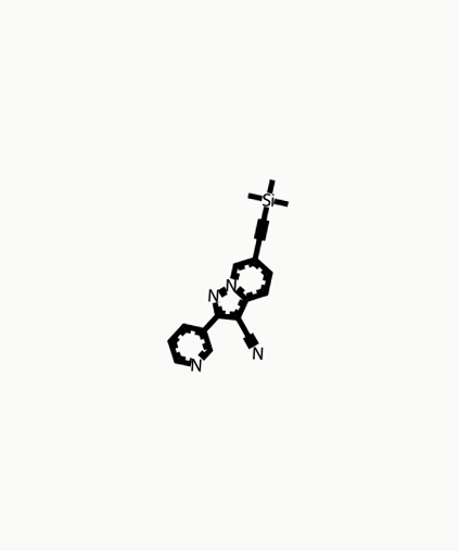 C[Si](C)(C)C#Cc1ccc2c(C#N)c(-c3cccnc3)nn2c1